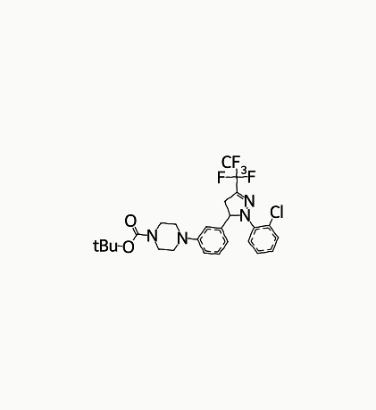 CC(C)(C)OC(=O)N1CCN(c2cccc(C3CC(C(F)(F)C(F)(F)F)=NN3c3ccccc3Cl)c2)CC1